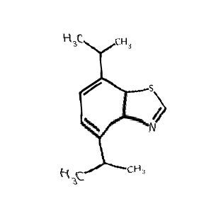 CC(C)C1=CC=C(C(C)C)C2SC=NC12